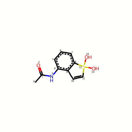 CC(=O)Nc1cccc2c1C=CS2(O)O